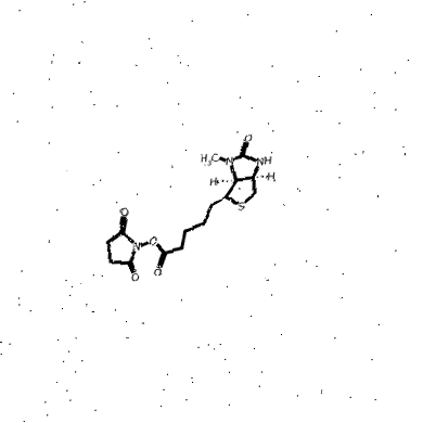 CN1C(=O)N[C@H]2CS[C@@H](CCCCC(=O)ON3C(=O)CCC3=O)[C@H]21